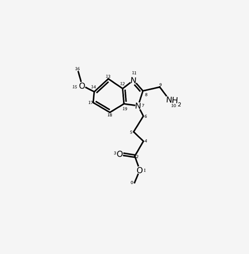 COC(=O)CCCn1c(CN)nc2cc(OC)ccc21